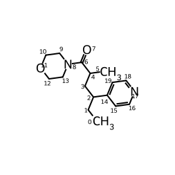 CCC(CC(C)C(=O)N1CCOCC1)c1ccncc1